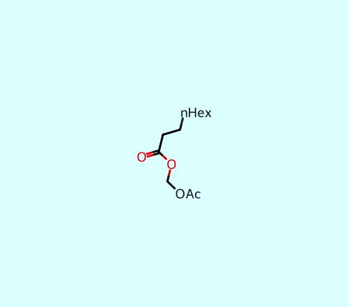 CCCCCCCCC(=O)OCOC(C)=O